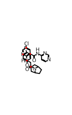 O=C(Nc1ccncn1)c1cc(Cl)cnc1NCC(=O)N1C2CCC1CC(Oc1ccc(F)cc1)C2